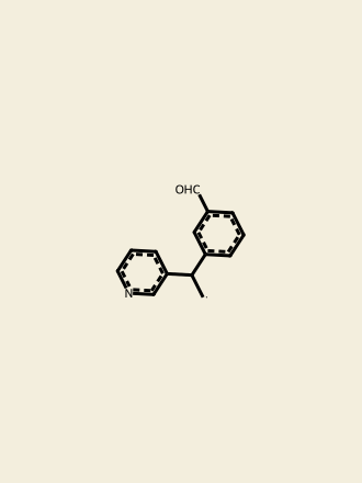 [CH2]C(c1cccnc1)c1cccc(C=O)c1